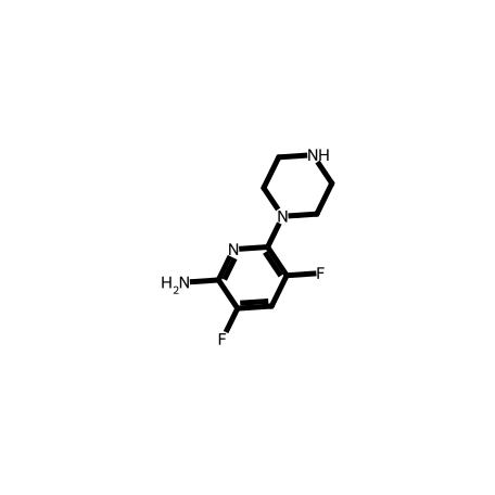 Nc1nc(N2CCNCC2)c(F)cc1F